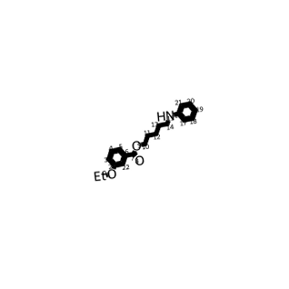 CCOc1cccc(C(=O)OCCCCCNc2ccccc2)c1